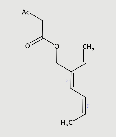 C=C/C(=C\C=C/C)COC(=O)CC(C)=O